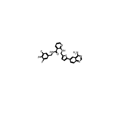 Nc1ncnc2ccc(-c3ccc(CNc4ncccc4C(=O)NCc4cc(F)c(F)c(F)c4)s3)cc12